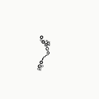 Nc1ncnc2c1c(-c1ccc(Oc3ccccc3)cc1)nn2C1CCN(C2CCN(CCCCC#Cc3ccc(-n4ccc(=O)[nH]c4=O)cc3)C2)CC1